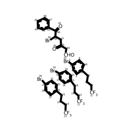 FC(F)(F)CCCc1ccc(Br)cc1.FC(F)(F)CCCc1ccc(Br)cc1.FC(F)(F)CCCc1ccc(Br)cc1.O=CCC(=O)CC(Br)C(=O)c1ccccc1